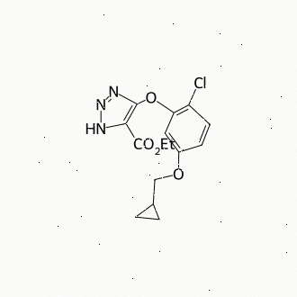 CCOC(=O)c1[nH]nnc1Oc1cc(OCC2CC2)ccc1Cl